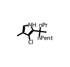 CCCCCC(C)(CCC)c1[nH]cc(C)c1Cl